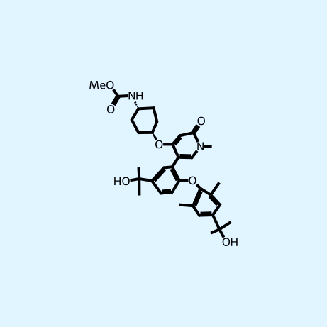 COC(=O)N[C@H]1CC[C@H](Oc2cc(=O)n(C)cc2-c2cc(C(C)(C)O)ccc2Oc2c(C)cc(C(C)(C)O)cc2C)CC1